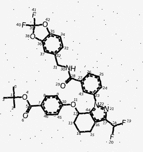 CC(C)(C)OC(=O)c1ccc(OC2CCCc3c(C(F)F)nn(-c4cccc(C(=O)NCc5ccc6c(c5)OC(F)(F)O6)c4)c32)cc1